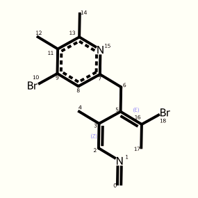 C=N/C=C(C)\C(Cc1cc(Br)c(C)c(C)n1)=C(/C)Br